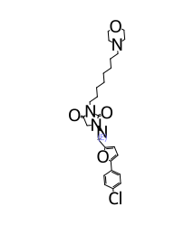 O=C1CN(/N=C/c2ccc(-c3ccc(Cl)cc3)o2)C(=O)N1CCCCCCCCN1CCOCC1